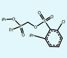 CCP(=O)(COS(=O)(=O)c1c(Cl)cccc1C(C)C)OC(C)C